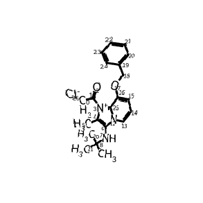 CC(=O)[n+]1c(C)c(NC(C)(C)C)n2cccc(OCc3ccccc3)c21.[Cl-]